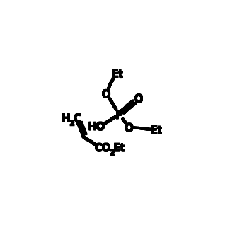 C=CC(=O)OCC.CCOP(=O)(O)OCC